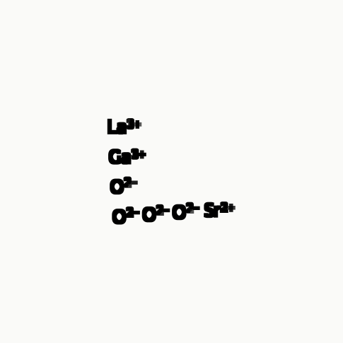 [Ga+3].[La+3].[O-2].[O-2].[O-2].[O-2].[Sr+2]